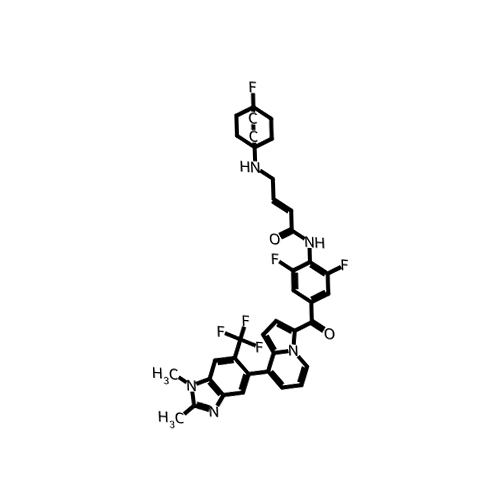 Cc1nc2cc(-c3cccn4c(C(=O)c5cc(F)c(NC(=O)/C=C/CNC67CCC(F)(CC6)CC7)c(F)c5)ccc34)c(C(F)(F)F)cc2n1C